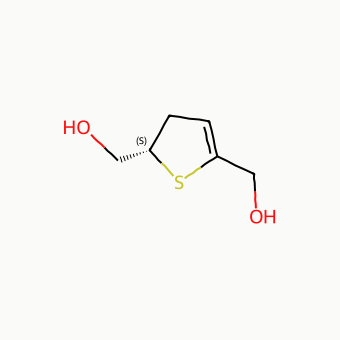 OCC1=CC[C@@H](CO)S1